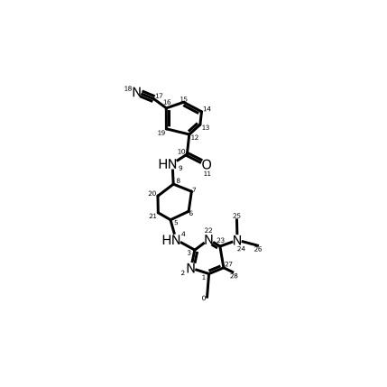 Cc1nc(NC2CCC(NC(=O)c3cccc(C#N)c3)CC2)nc(N(C)C)c1C